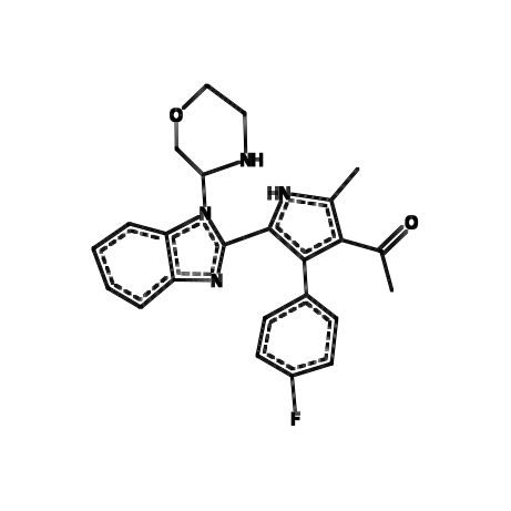 CC(=O)c1c(C)[nH]c(-c2nc3ccccc3n2C2COCCN2)c1-c1ccc(F)cc1